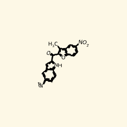 Cc1c(C(=O)c2cc3cc(Br)ccc3[nH]2)oc2ccc([N+](=O)[O-])cc12